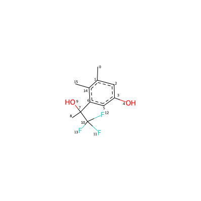 Cc1cc(O)cc(C(C)(O)C(F)(F)F)c1C